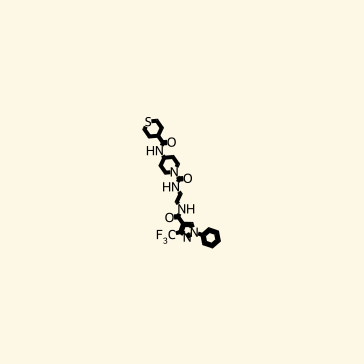 O=C(NCCNC(=O)N1CCC(NC(=O)C2CCSCC2)CC1)c1cn(-c2ccccc2)nc1C(F)(F)F